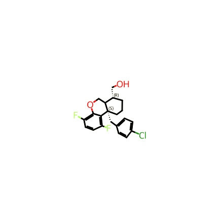 OC[C@@H]1CCC[C@@]2(Cc3ccc(Cl)cc3)c3c(F)ccc(F)c3OCC12